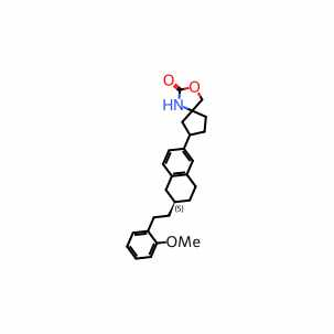 COc1ccccc1CC[C@@H]1CCc2cc(C3CCC4(COC(=O)N4)C3)ccc2C1